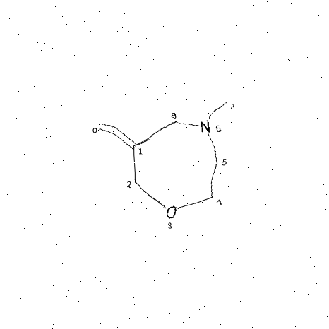 C=C1COCCN(C)C1